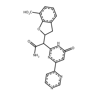 NC(=O)C(c1nc(-c2ccncn2)cc(=O)[nH]1)C1Cc2cccc(C(=O)O)c2O1